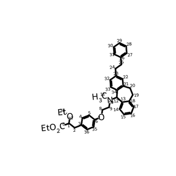 CCOC(=O)C(Cc1ccc(OCCN(C)C2c3ccccc3CCc3cc(CCc4ccccc4)ccc32)cc1)OCC